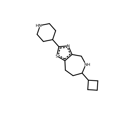 C1CC(C2CCc3sc(C4CCNCC4)nc3CN2)C1